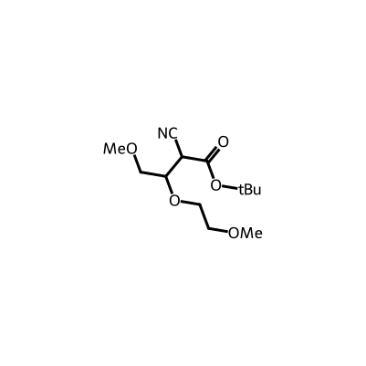 COCCOC(COC)C(C#N)C(=O)OC(C)(C)C